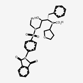 CC(C)CN(C[C@@H](O)[C@H](Cc1ccccc1)N(C(=O)O)C1CCOC1)S(=O)(=O)c1ccc(N2C(=O)c3ccccc3C2=O)cc1